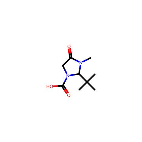 CN1C(=O)CN(C(=O)O)C1C(C)(C)C